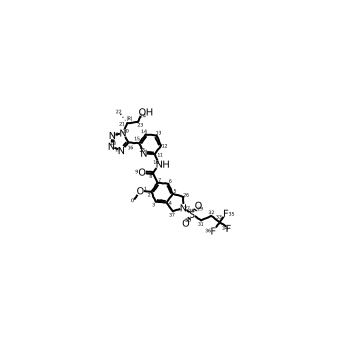 COc1cc2c(cc1C(=O)Nc1cccc(-c3nnnn3[C@H](C)CO)n1)CN(S(=O)(=O)CCC(F)(F)F)C2